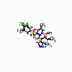 C=C/C(OC(C)C)=C(/C(=O)c1ncc(C)cc1NS(=O)(=O)c1ccc(Cl)c(C(F)(F)F)c1)c1cc[nH]c1C